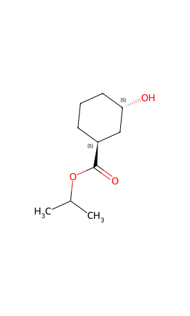 CC(C)OC(=O)[C@H]1CCC[C@H](O)C1